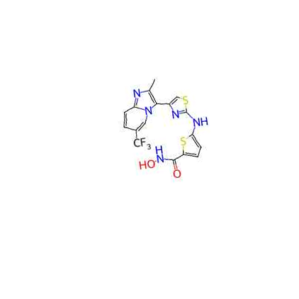 Cc1nc2ccc(C(F)(F)F)cn2c1-c1csc(Nc2ccc(C(=O)NO)s2)n1